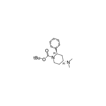 CN(C)[C@@H]1CCN(C(=O)OC(C)(C)C)[C@@H](c2ccccc2)C1